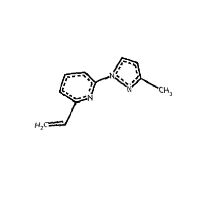 C=Cc1cccc(-n2ccc(C)n2)n1